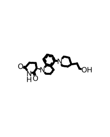 O=C1CC[C@@H](N2CCCc3c(N4CCC(CCO)CC4)cccc32)C(=O)N1